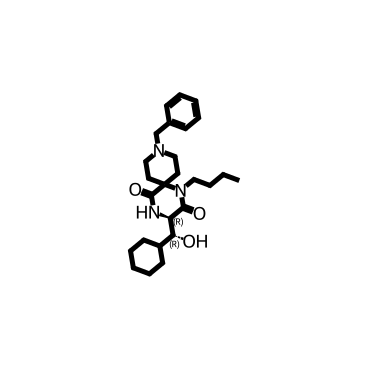 CCCCN1C(=O)[C@@H]([C@H](O)C2CCCCC2)NC(=O)C12CCN(Cc1ccccc1)CC2